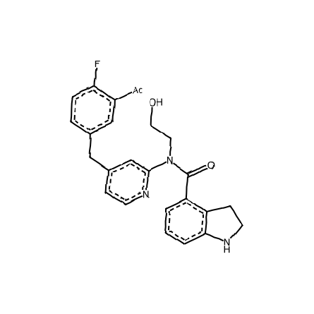 CC(=O)c1cc(Cc2ccnc(N(CCO)C(=O)c3cccc4c3CCN4)c2)ccc1F